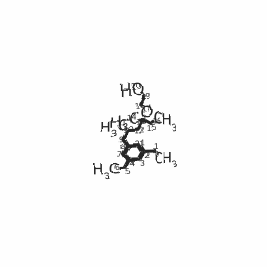 CCc1cc(CC)cc(CC(C)CC(C)(CC)OCCO)c1